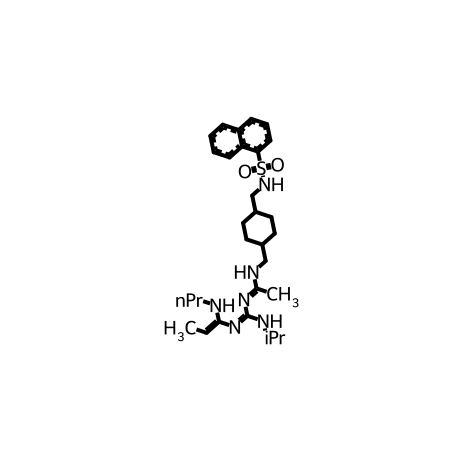 CC=C(/N=C(\N=C(/C)NCC1CCC(CNS(=O)(=O)c2cccc3ccccc23)CC1)NC(C)C)NCCC